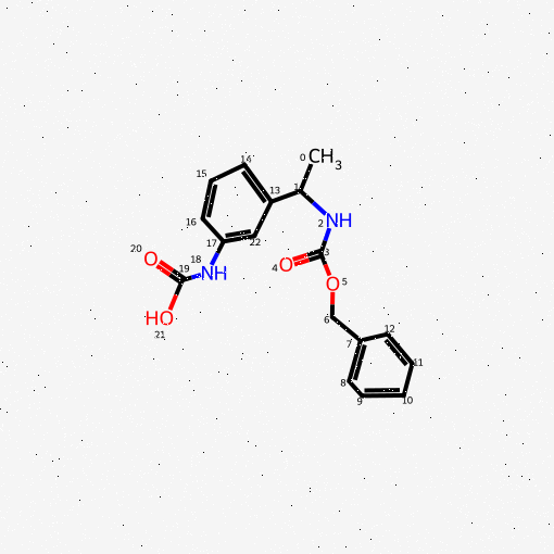 CC(NC(=O)OCc1ccccc1)c1cccc(NC(=O)O)c1